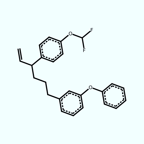 C=CC(CCCc1cccc(Oc2ccccc2)c1)c1ccc(OC(F)F)cc1